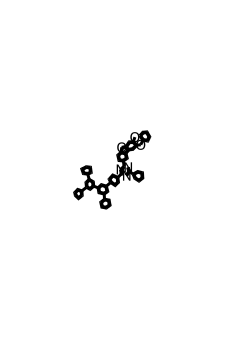 c1ccc(-c2cc(-c3ccccc3)cc(-c3cc(-c4ccccc4)cc(-c4ccc(-c5nc(-c6ccccc6)nc(-c6ccc7oc8cc9c(cc8c7c6)Oc6ccccc6O9)n5)cc4)c3)c2)cc1